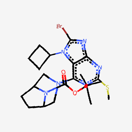 CSc1nc(N2CC3CCC(C2)N3C(=O)OC(C)(C)C)c2c(n1)nc(Br)n2C1CCC1